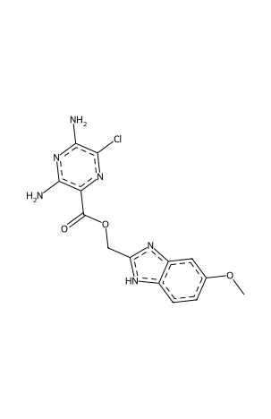 COc1ccc2[nH]c(COC(=O)c3nc(Cl)c(N)nc3N)nc2c1